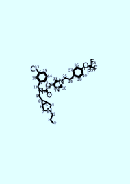 CCCN1CC2C(C1)C2CN(Cc1cccc(Cl)c1)C(=O)Oc1cn(CCc2ccc(OC(F)(F)F)cc2)cn1